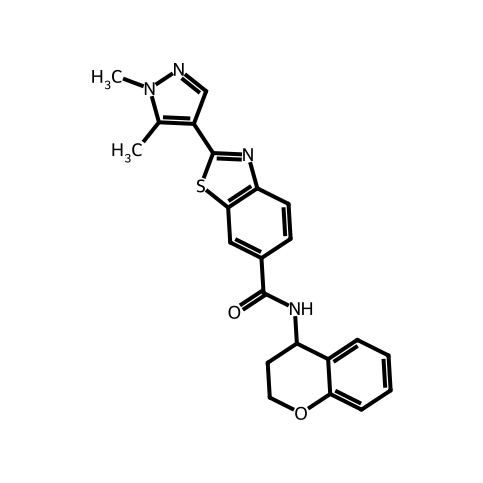 Cc1c(-c2nc3ccc(C(=O)NC4CCOc5ccccc54)cc3s2)cnn1C